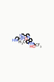 Cc1ccc2c(NCC(O)C(F)(F)F)cccc2c1Oc1ncccc1-c1ccnc(N[C@H]2CCCNC2)n1